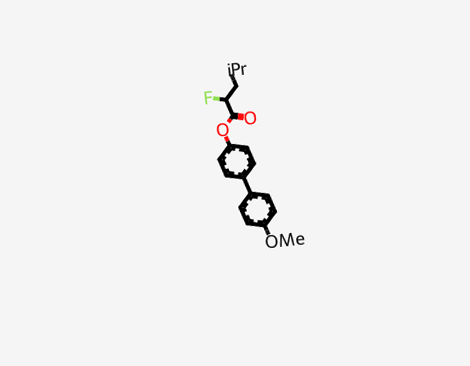 COc1ccc(-c2ccc(OC(=O)C(F)CC(C)C)cc2)cc1